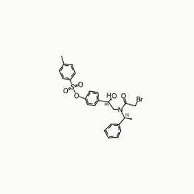 Cc1ccc(S(=O)(=O)Oc2ccc([C@@H](O)CN(C(=O)CBr)[C@@H](C)c3ccccc3)cc2)cc1